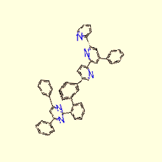 c1ccc(-c2cc(-c3ccccn3)nc(-c3ccc(-c4cccc(-c5ccccc5-c5nc(-c6ccccc6)cc(-c6ccccc6)n5)c4)cn3)c2)cc1